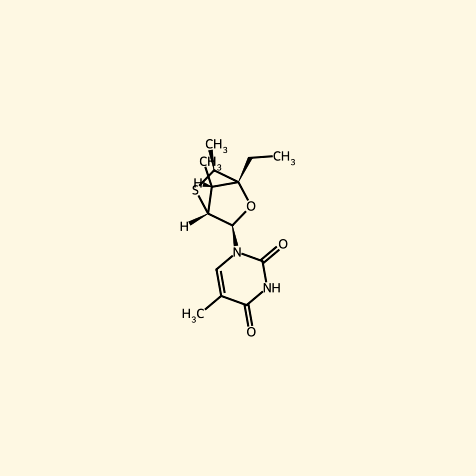 CC[C@]12O[C@@H](n3cc(C)c(=O)[nH]c3=O)[C@H](S[C@H]1C)[C@@H]2C